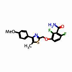 COc1ccc(-c2nc(COc3ccc(F)c(C(N)=O)c3F)sc2C)cc1